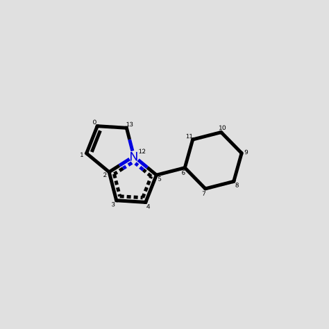 C1=Cc2ccc(C3CCCCC3)n2C1